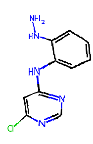 NNc1ccccc1Nc1cc(Cl)ncn1